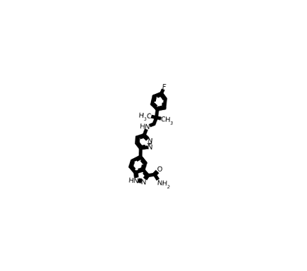 CC(C)(CNc1ccc(-c2ccc3[nH]nc(C(N)=O)c3c2)nn1)c1ccc(F)cc1